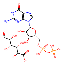 Nc1nc2c(ncn2[C@@H]2O[C@H](COP(=O)(O)OP(=O)(O)O)[C@@H](O)[C@H]2O)c(=O)[nH]1.O=C[C@@H](O)[C@@H](O)[C@H](O)[C@H](O)C(=O)O